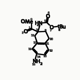 COC(=O)C1(NC(=O)OC(C)(C)C)CCc2ccc(N)cc2C1